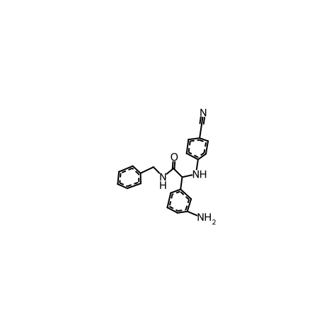 N#Cc1ccc(NC(C(=O)NCc2ccccc2)c2cccc(N)c2)cc1